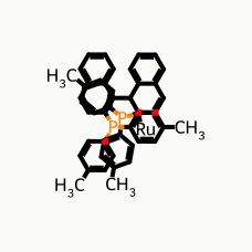 Cc1ccc(P(c2ccc(C)cc2)c2ccc3ccccc3c2C2c3ccccc3C=C[C]2([Ru])P(c2ccc(C)cc2)c2ccc(C)cc2)cc1